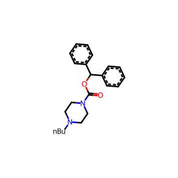 [CH2]CCCN1CCN(C(=O)OC(c2ccccc2)c2ccccc2)CC1